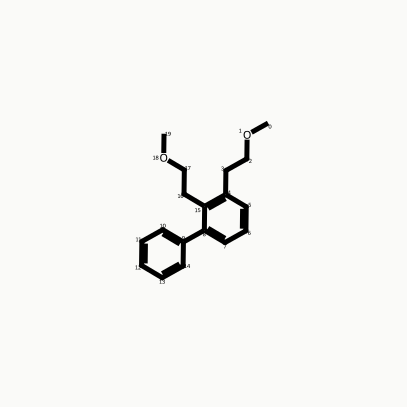 COCCc1cccc(-c2ccccc2)c1CCOC